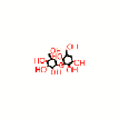 OCC1CC(OC2C(O)C(O)CC(CO)C2O)C(O)C(O)C1O